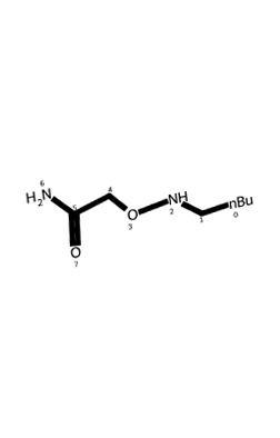 CCCCCNOCC(N)=O